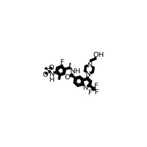 Cc1cc([C@@H](C)NC(=O)c2ccc3nc(C(F)(F)F)cc(N4CCN(CCO)CC4)c3c2)c(F)cc1NS(C)(=O)=O